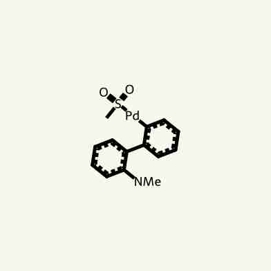 CNc1ccccc1-c1cccc[c]1[Pd][S](C)(=O)=O